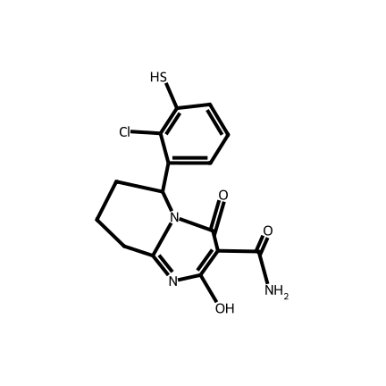 NC(=O)c1c(O)nc2n(c1=O)C(c1cccc(S)c1Cl)CCC2